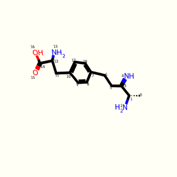 C[C@H](N)C(=N)CCc1ccc(CC(N)C(=O)O)cc1